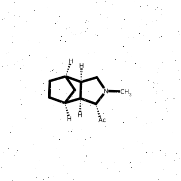 CC(=O)[C@@H]1[C@H]2[C@H]3CC[C@H](C3)[C@H]2CN1C